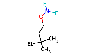 CCC(C)(C)CCON(F)F